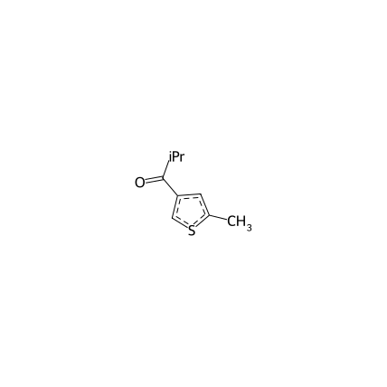 Cc1cc(C(=O)C(C)C)cs1